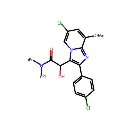 CCCN(CCC)C(=O)C(O)c1c(-c2ccc(Cl)cc2)nc2c(OC)cc(Cl)cn12